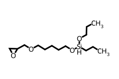 CCCO[SiH](CCC)OCCCCCOCC1CO1